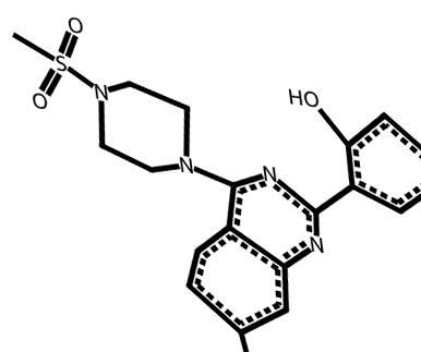 Cc1ccc2c(N3CCN(S(C)(=O)=O)CC3)nc(-c3ccccc3O)nc2c1